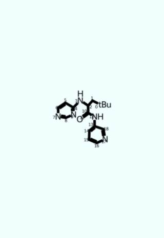 CC(C)(C)CC(Nc1ccncn1)C(=O)Nc1cccnc1